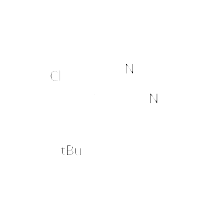 Cc1nn(C)c(Cl)c1C(C)(C)C